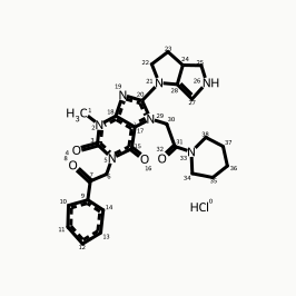 Cl.Cn1c(=O)n(CC(=O)c2ccccc2)c(=O)c2c1nc(N1CCC3CNC=C31)n2CC(=O)N1CCCCC1